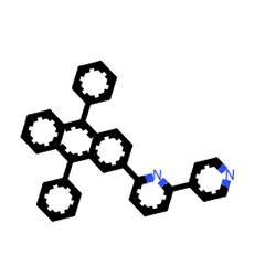 c1ccc(-c2c3ccccc3c(-c3ccccc3)c3cc(-c4cccc(-c5ccncc5)n4)ccc23)cc1